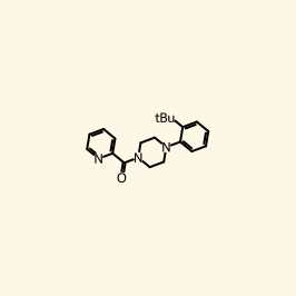 CC(C)(C)c1ccccc1N1CCN(C(=O)c2ccccn2)CC1